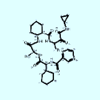 CCCC(NC(=O)[C@@H]1CCCC[C@@H]1NC(=O)[C@@H](NC(=O)[C@@H](NC(=O)c1cnccn1)C1CCCCC1)C(C)C)C(=O)C(=O)NC1CC1